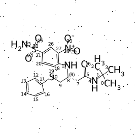 CC(C)(C)NC(=O)C[C@H](CSc1ccccc1)Nc1ccc(S(N)(=O)=O)cc1[N+](=O)[O-]